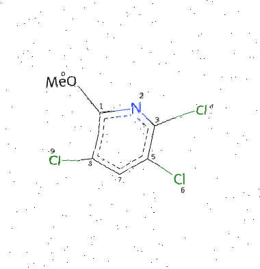 COc1nc(Cl)c(Cl)cc1Cl